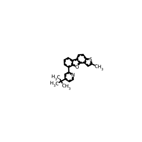 Cc1cc2c(ccc3c4cccc(-c5cc(C(C)(C)C)ccn5)c4oc23)s1